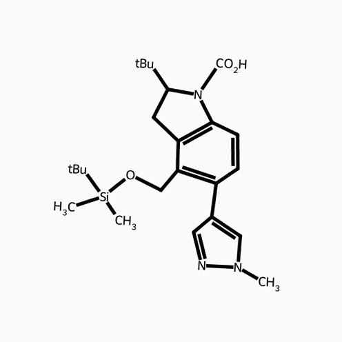 Cn1cc(-c2ccc3c(c2CO[Si](C)(C)C(C)(C)C)CC(C(C)(C)C)N3C(=O)O)cn1